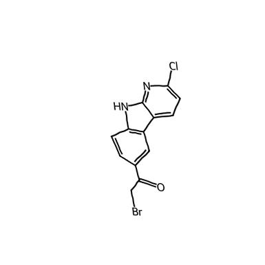 O=C(CBr)c1ccc2[nH]c3nc(Cl)ccc3c2c1